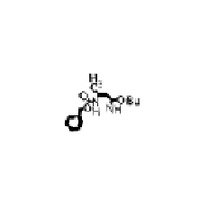 C/C(=C/C(=N)OCC(C)C)NC(=O)OCc1ccccc1